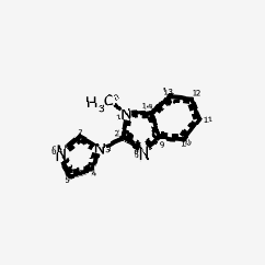 Cn1c(-n2ccnc2)nc2ccccc21